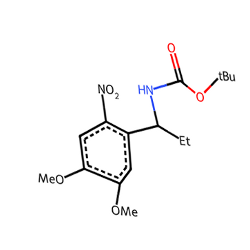 CCC(NC(=O)OC(C)(C)C)c1cc(OC)c(OC)cc1[N+](=O)[O-]